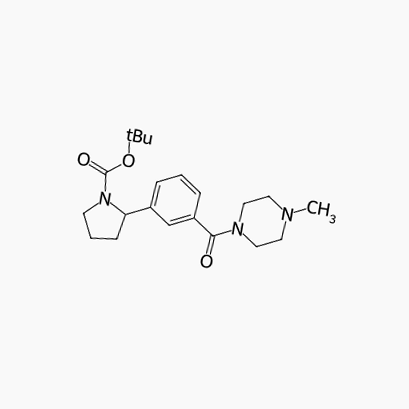 CN1CCN(C(=O)c2cccc(C3CCCN3C(=O)OC(C)(C)C)c2)CC1